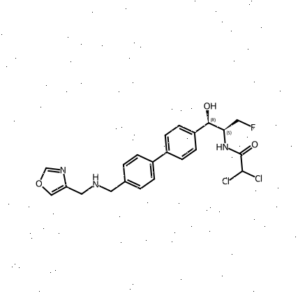 O=C(N[C@H](CF)[C@H](O)c1ccc(-c2ccc(CNCc3cocn3)cc2)cc1)C(Cl)Cl